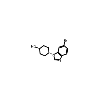 O[C@H]1CC[C@H](n2cnc3ccc(Br)cc32)CC1